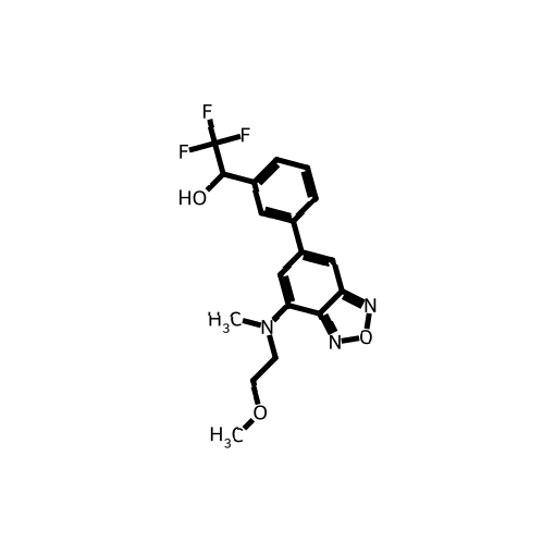 COCCN(C)c1cc(-c2cccc(C(O)C(F)(F)F)c2)cc2nonc12